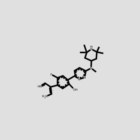 CN(c1ccc(-c2cc(F)c(/C(C=N)=C/N)cc2O)nn1)C1CC(C)(C)NC(C)(C)C1